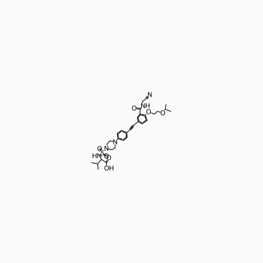 CC(C)OCCOc1ccc(C#Cc2ccc(N3CCN(S(=O)(=O)N[C@@H](C(=O)O)C(C)C)CC3)cc2)cc1C(=O)NCC#N